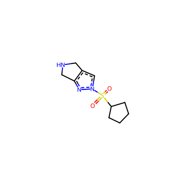 O=S(=O)(C1CCCC1)n1cc2c(n1)CNC2